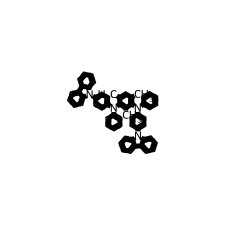 Cc1cc(C)c(N(c2ccccc2)c2ccc(-n3c4ccccc4c4ccccc43)cc2)c(C)c1N(c1ccccc1)c1ccc(N2c3ccccc3C3C=CC=CC32)cc1